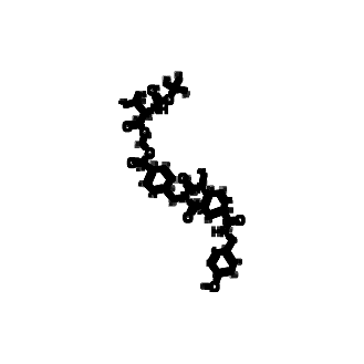 COc1ccc(CNC(=O)c2ccc3c(c2)c(=O)n(Cc2ccc(C(=O)OCOC(=O)C(NC(=O)OC(C)(C)C)C(C)C)cc2)c(=O)n3C)cc1